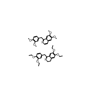 CCOc1ccc(CC2=NCCc3cc(OCC)c(OCC)cc32)cc1OCC.COc1ccc(Cc2nccc3cc(OC)c(OC)cc23)cc1OC